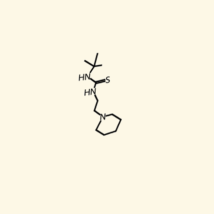 CC(C)(C)NC(=S)NCCN1CCCCC1